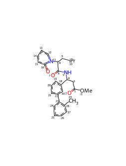 COC(=O)CC(NC(=O)C(CC(C)C)n1ccccc1=O)c1cccc(-c2ccccc2C)c1